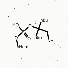 CCCCCCCOP(=O)(O)OC(CN)(CCCC)CCCC